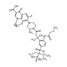 CCCC(=O)Oc1ccc(P(=O)(OCC)C(CC)(CC)P(=O)(O)O)cc1C(C)(C)CC(=O)N1CCN(c2c(F)cc3c(=O)c(C(=O)O)cn(C4CC4)c3c2OC)CC1C